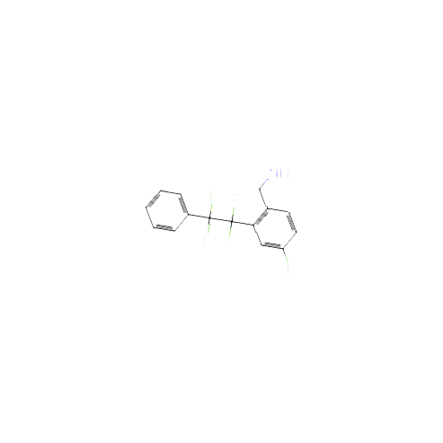 NCc1ccc(F)cc1C(F)(F)C(F)(F)c1ccccc1